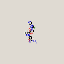 C[C@](O)(C(=O)Nc1cc(F)c2c(N)noc2c1)[C@H]1OCCN(c2nn(-c3ccnnc3)cc2F)C1=O